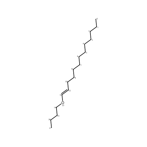 CCCCCCCCCCCC=COCCCC